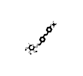 CO[C@@H]1[C@@H](OC)[C@H](C)O[C@@H](ON=Cc2ccc(/C=C/c3ccc(OC(F)(F)F)cc3)cc2)[C@@H]1OC